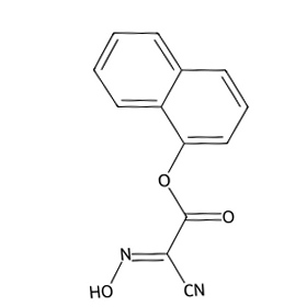 N#CC(=NO)C(=O)Oc1cccc2ccccc12